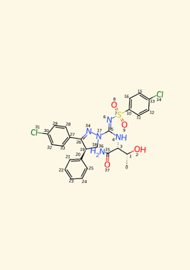 C[C@@H](O)[C@@H](N/C(=N\S(=O)(=O)c1ccc(Cl)cc1)N1C[C@@H](c2ccccc2)C(c2ccc(Cl)cc2)=N1)C(N)=O